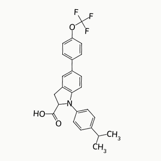 CC(C)c1ccc(N2c3ccc(-c4ccc(OC(F)(F)F)cc4)cc3CC2C(=O)O)cc1